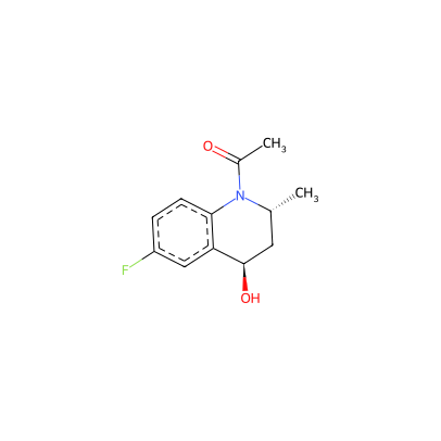 CC(=O)N1c2ccc(F)cc2[C@H](O)C[C@H]1C